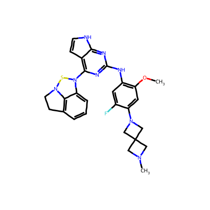 COc1cc(N2CC3(CN(C)C3)C2)c(F)cc1Nc1nc(N2SN3CCc4cccc2c43)c2cc[nH]c2n1